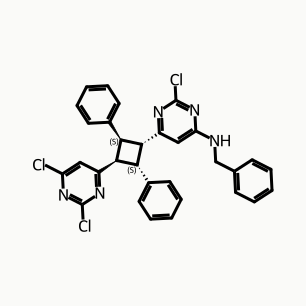 Clc1cc([C@H]2[C@@H](c3ccccc3)[C@H](c3cc(NCc4ccccc4)nc(Cl)n3)[C@@H]2c2ccccc2)nc(Cl)n1